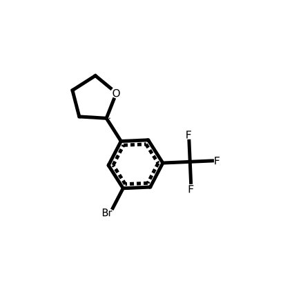 FC(F)(F)c1cc(Br)cc([C]2CCCO2)c1